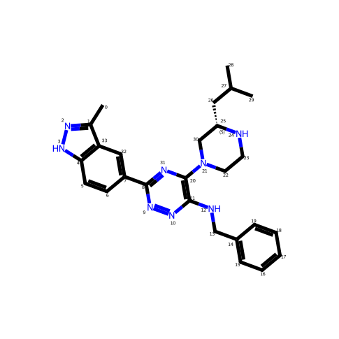 Cc1n[nH]c2ccc(-c3nnc(NCc4ccccc4)c(N4CCN[C@@H](CC(C)C)C4)n3)cc12